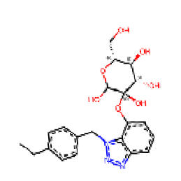 CCc1ccc(Cn2nnc3cccc(O[C@]4(O)C(O)O[C@H](CO)[C@@H](O)[C@@H]4O)c32)cc1